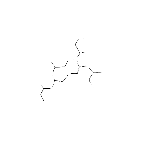 CCC(C)OC(COCC(OC(C)CC)OC(C)CC)OC(C)CC